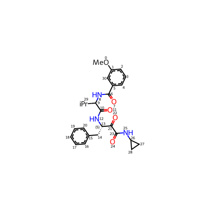 COc1cccc(C(=O)NC(C(=O)N[C@@H](Cc2ccccc2)C(=O)C(=O)NC2CC2)C(C)C)c1